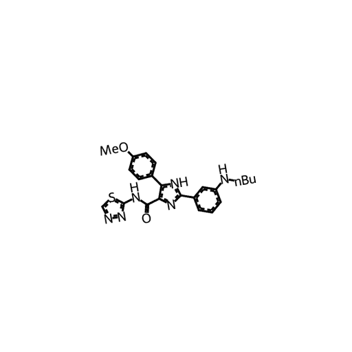 CCCCNc1cccc(-c2nc(C(=O)Nc3nncs3)c(-c3ccc(OC)cc3)[nH]2)c1